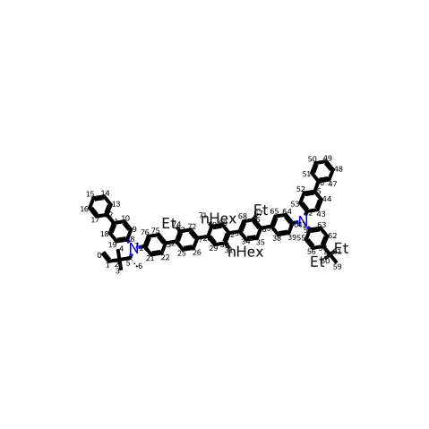 C=CC(C)(C)[C@@H](C)N(c1ccc(-c2ccccc2)cc1)c1ccc(-c2ccc(-c3cc(CCCCCC)c(-c4ccc(-c5ccc(N(c6ccc(-c7ccccc7)cc6)c6ccc(C(C)(CC)CC)cc6)cc5)c(CC)c4)cc3CCCCCC)cc2CC)cc1